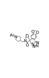 CC(=O)N1CCC(CN2C(=O)C3(Cn4nnnc4-c4cc5c(cc43)OCO5)c3ccccc32)CC1